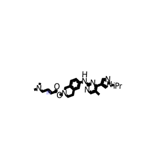 Cc1cnc(Nc2ccc3c(c2)CCN(OC(=O)/C=C/CN(C)C)C3)nc1-c1cnn(C(C)C)c1